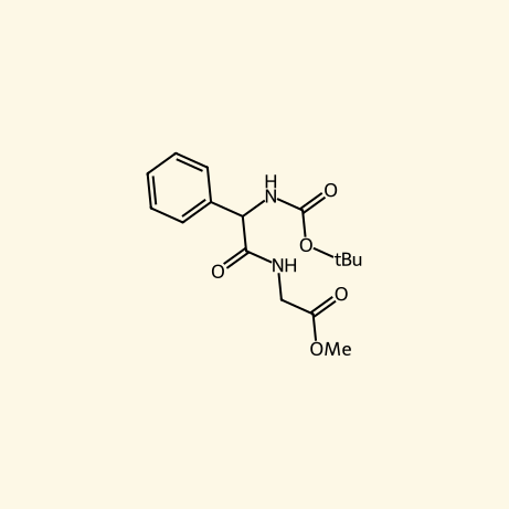 COC(=O)CNC(=O)C(NC(=O)OC(C)(C)C)c1ccccc1